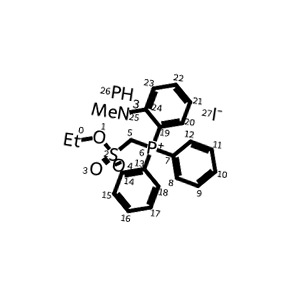 CCOS(=O)(=O)C[P+](c1ccccc1)(c1ccccc1)c1ccccc1NC.P.[I-]